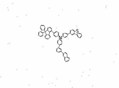 c1ccc(C2(c3ccccc3)c3ccccc3-c3c(-c4ccc(N(c5ccc(-c6cccc(-c7ccc8ccccc8c7)c6)cc5)c5ccc(-c6ccc7sc8ccccc8c7c6)cc5)cc4)cccc32)cc1